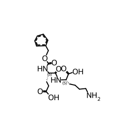 NCCCC[C@H](NC(=O)[C@H](CCC(=O)O)NC(=O)OCc1ccccc1)C(=O)O